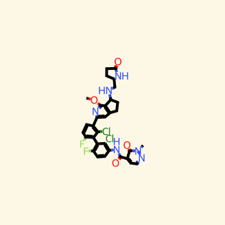 COc1nc(-c2ccc(F)c(-c3c(F)ccc(NC(=O)c4ccnn(C)c4=O)c3Cl)c2Cl)cc2c1C(NCC1CCC(=O)N1)CC2